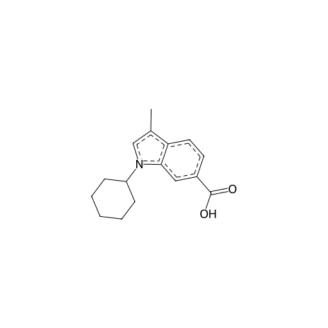 Cc1cn(C2CCCCC2)c2cc(C(=O)O)ccc12